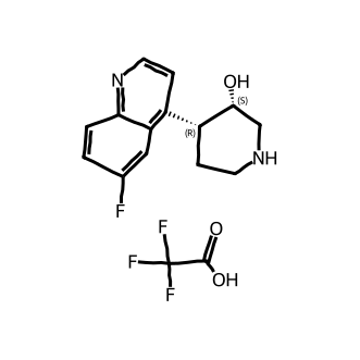 O=C(O)C(F)(F)F.O[C@@H]1CNCC[C@@H]1c1ccnc2ccc(F)cc12